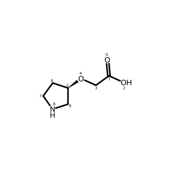 O=C(O)CO[C@@H]1CCNC1